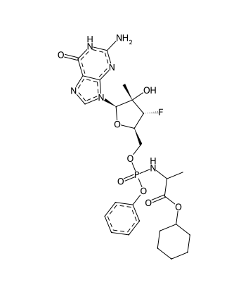 CC(NP(=O)(OC[C@H]1O[C@@H](n2cnc3c(=O)[nH]c(N)nc32)[C@](C)(O)[C@@H]1F)Oc1ccccc1)C(=O)OC1CCCCC1